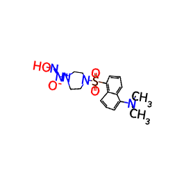 CN(C)c1cccc2c(S(=O)(=O)N3CCN(/[N+]([O-])=N/O)CC3)cccc12